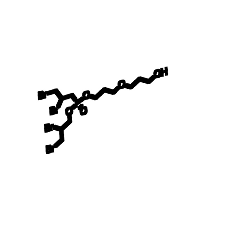 O=P(CC(Br)CBr)(OCCCOCCCO)OCC(Br)CBr